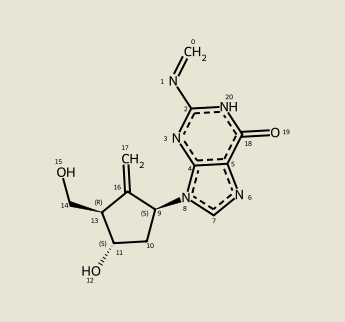 C=Nc1nc2c(ncn2[C@H]2C[C@H](O)[C@@H](CO)C2=C)c(=O)[nH]1